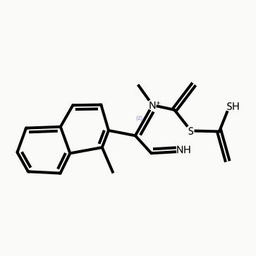 C=C(S)SC(=C)/[N+](C)=C(\C=N)c1ccc2ccccc2c1C